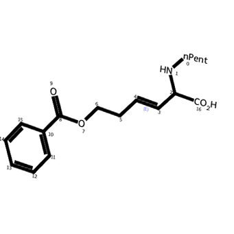 CCCCCNC(/C=C/CCOC(=O)c1ccccc1)C(=O)O